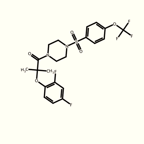 CC(C)(Oc1ccc(F)cc1F)C(=O)N1CCN(S(=O)(=O)c2ccc(OC(F)(F)F)cc2)CC1